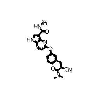 CC(C)NC(=O)c1c[nH]c2ncc(Oc3cccc(C=C(C#N)C(=O)N(C)C)c3)nc12